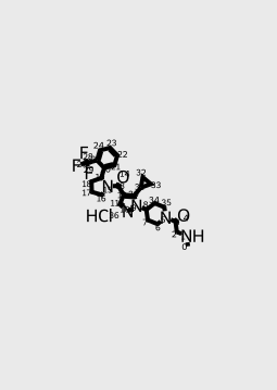 CNCC(=O)N1CCC(n2ncc(C(=O)N3CCCC3c3ccccc3C(F)(F)F)c2C2CC2)CC1.Cl